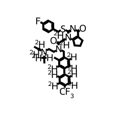 [2H]c1c([2H])c(-c2c([2H])c([2H])c(C(F)(F)F)c([2H])c2[2H])c([2H])c(C)c1CN(CCN(C([2H])([2H])C)C([2H])([2H])C)C(=O)C([2H])([2H])n1c(SCc2ccc(F)cc2)nc(=O)c2c1CCC2